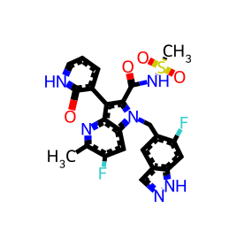 Cc1nc2c(-c3ccc[nH]c3=O)c(C(=O)NS(C)(=O)=O)n(Cc3cc4cn[nH]c4cc3F)c2cc1F